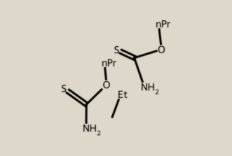 CCC.CCCOC(N)=S.CCCOC(N)=S